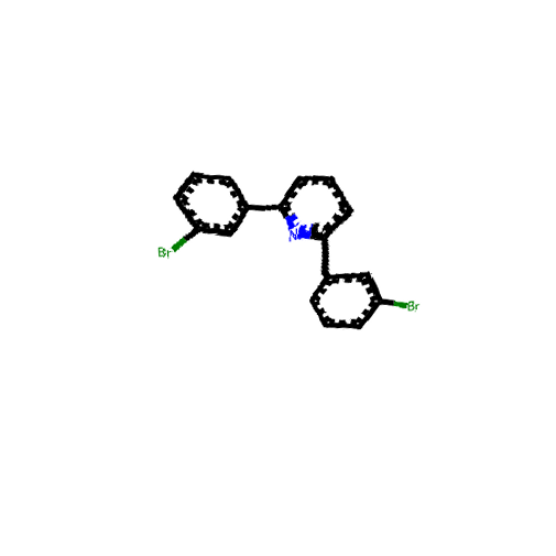 Brc1cccc(-c2cccc(-c3cccc(Br)c3)n2)c1